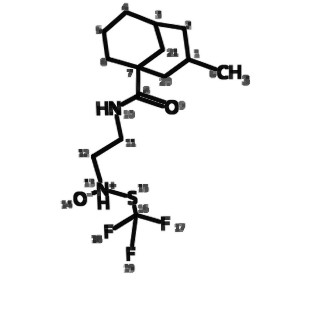 CC1CC2CCCC(C(=O)NCC[NH+]([O-])SC(F)(F)F)(C1)C2